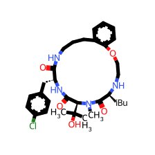 CCC(C)[C@@H]1NCCOc2ccccc2CCCNC(=O)[C@@H](Cc2ccc(Cl)cc2)NC(=O)[C@H](C(C)(C)O)N(C)C1=O